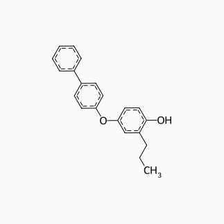 CCCc1cc(Oc2ccc(-c3ccccc3)cc2)ccc1O